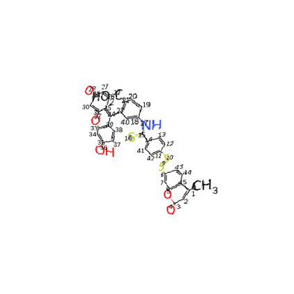 Cc1cc(=O)oc2cc(SSc3ccc(C(=S)Nc4ccc(C(=O)O)c(-c5c6ccc(=O)cc-6oc6cc(O)ccc56)c4)cc3)ccc12